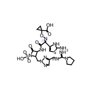 N=C(NCc1cnn(CC2C(NC(=O)/C(=N\OC3(C(=O)O)CC3)C3=CSC(N)N3)C(=O)N2S(=O)(=O)O)n1)N1CCCC1